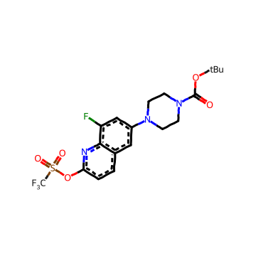 CC(C)(C)OC(=O)N1CCN(c2cc(F)c3nc(OS(=O)(=O)C(F)(F)F)ccc3c2)CC1